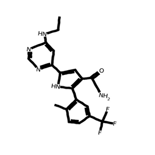 CCNc1cc(-c2cc(C(N)=O)c(-c3cc(C(F)(F)F)ccc3C)[nH]2)ncn1